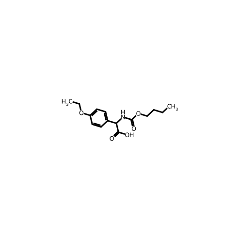 CCCCOC(=O)NC(C(=O)O)c1ccc(OCC)cc1